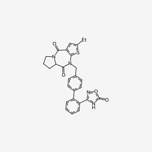 CCc1cc2c(s1)N(Cc1ccc(-c3ccccc3-c3noc(=O)[nH]3)cc1)C(=O)C1CCCN1C2=O